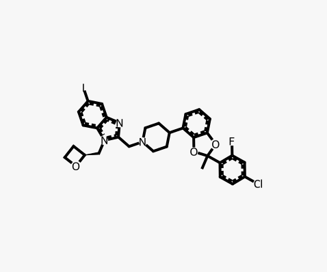 CC1(c2ccc(Cl)cc2F)Oc2cccc(C3CCN(Cc4nc5cc(I)ccc5n4C[C@@H]4CCO4)CC3)c2O1